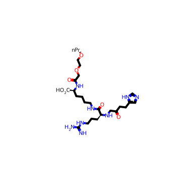 CCCOCCOCC(=O)N[C@@H](CCCCNC(=O)[C@H](CCCNC(=N)N)NCC(=O)CCc1cnc[nH]1)C(=O)O